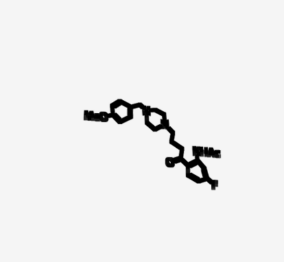 COc1ccc(CN2CCN(CCCC(=O)c3ccc(F)cc3NC(C)=O)CC2)cc1